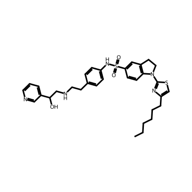 CCCCCCc1csc(N2CCc3cc(S(=O)(=O)Nc4ccc(CCNCC(O)c5cccnc5)cc4)ccc32)n1